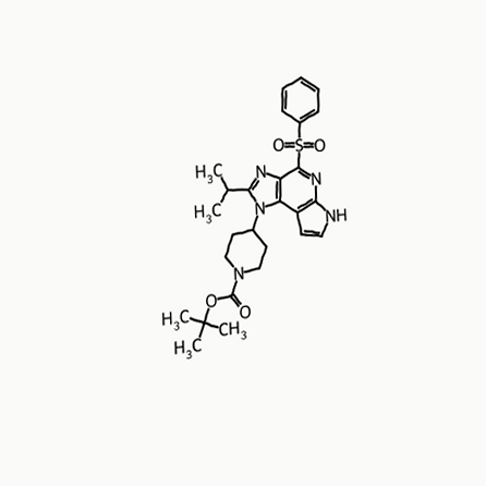 CC(C)c1nc2c(S(=O)(=O)c3ccccc3)nc3[nH]ccc3c2n1C1CCN(C(=O)OC(C)(C)C)CC1